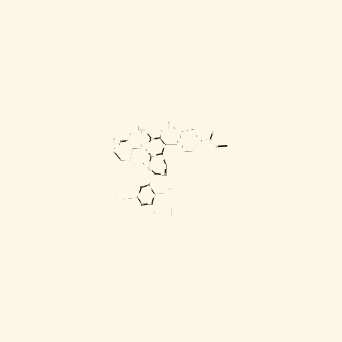 C=CC(=O)N1CCN(c2c(C#N)c(=O)n(C3C(C(C)C)=NC=CC3C)c3nc(-c4c(F)c(Cl)c(F)c(O)c4Cl)c(Cl)cc23)C[C@H]1C